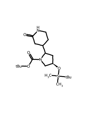 CC(C)(C)OC(=O)N1C[C@H](O[Si](C)(C)C(C)(C)C)CC1C1CCNC(=O)C1